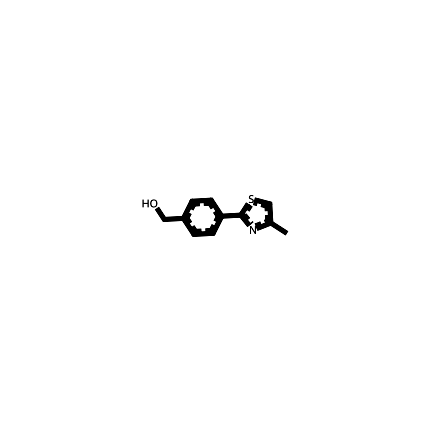 Cc1csc(-c2ccc(CO)cc2)n1